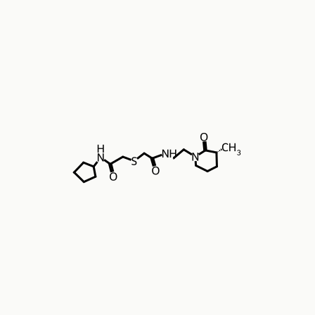 C[C@@H]1CCCN(CCNC(=O)CSCC(=O)NC2CCCC2)C1=O